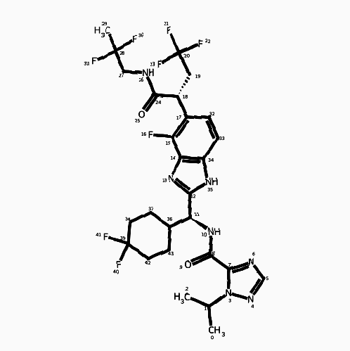 CC(C)n1ncnc1C(=O)N[C@H](c1nc2c(F)c([C@@H](CC(F)(F)F)C(=O)NCC(C)(F)F)ccc2[nH]1)C1CCC(F)(F)CC1